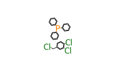 ClCc1ccc(Cl)c(Cl)c1.c1ccc(P(c2ccccc2)c2ccccc2)cc1